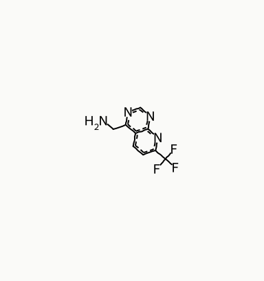 NCc1ncnc2nc(C(F)(F)F)ccc12